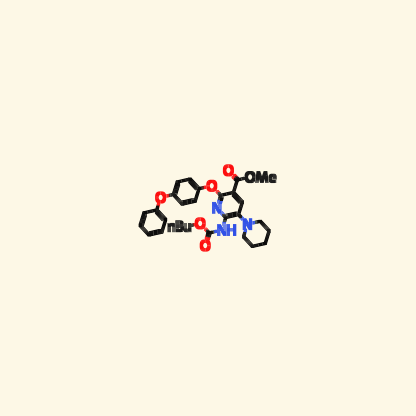 CCCCOC(=O)Nc1nc(Oc2ccc(Oc3ccccc3)cc2)c(C(=O)OC)cc1N1CCCCC1